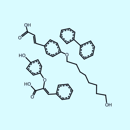 O=C(O)C(=Cc1ccccc1)Oc1ccc(O)cc1.O=C(O)C=Cc1ccc(OCCCCCCCCO)cc1.c1ccc(-c2ccccc2)cc1